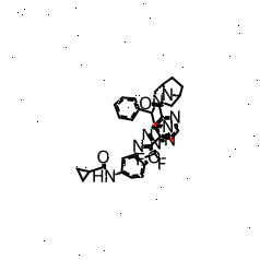 O=C(Nc1ccc2oc(-c3ccnc(C(=O)N4C5CCC4CN(C(c4ccccc4)c4nnn(C(F)F)n4)C5)c3)nc2c1)C1CC1